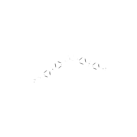 CC(C)(c1ccc(OCC(O)COc2ccc(C(C)(C)c3ccc(C4CO4)cc3)cc2)cc1)c1ccc(OCC2CO2)cc1